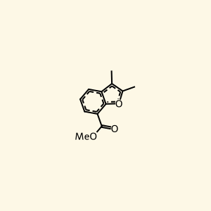 COC(=O)c1cccc2c(C)c(C)oc12